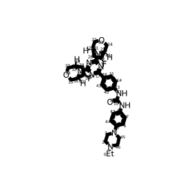 CCN1CCN(c2ccc(NC(=O)Nc3ccc(-c4nc(N5[C@@H]6COC[C@H]5[C@H](F)C6)nc(N5[C@@H]6COC[C@H]5[C@H](F)C6)n4)cc3)cc2)CC1